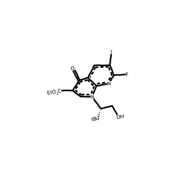 CCOC(=O)c1cn([C@H](CO)C(C)(C)C)c2nc(F)c(I)cc2c1=O